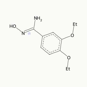 CCOc1ccc(/C(N)=N/O)cc1OCC